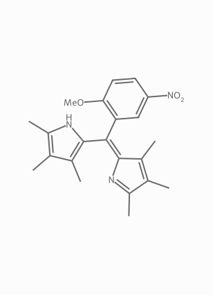 COc1ccc([N+](=O)[O-])cc1/C(=C1/N=C(C)C(C)=C1C)c1[nH]c(C)c(C)c1C